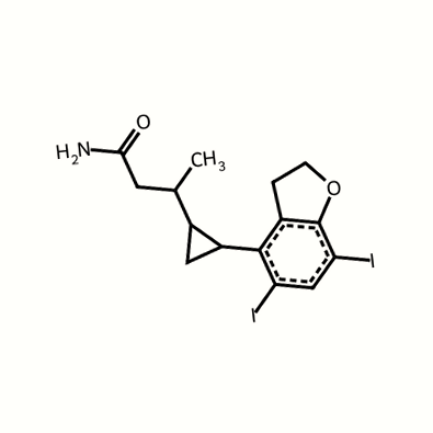 CC(CC(N)=O)C1CC1c1c(I)cc(I)c2c1CCO2